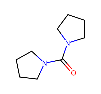 O=C(N1CCCC1)N1CCCC1